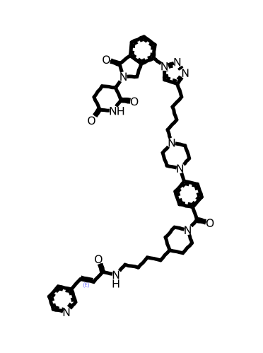 O=C(/C=C/c1cccnc1)NCCCCC1CCN(C(=O)c2ccc(N3CCN(CCCCc4cn(-c5cccc6c5CN(C5CCC(=O)NC5=O)C6=O)nn4)CC3)cc2)CC1